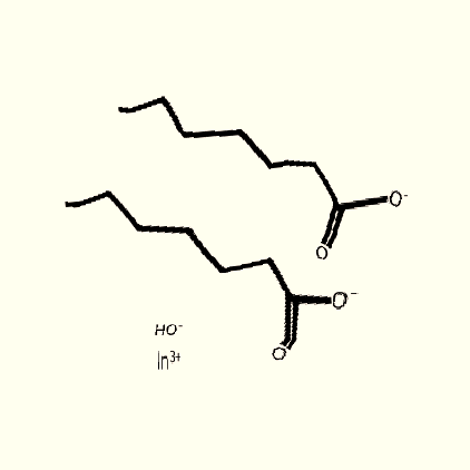 CCCCCCC(=O)[O-].CCCCCCC(=O)[O-].[In+3].[OH-]